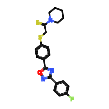 Fc1ccc(-c2noc(-c3ccc(SCC(=S)N4CCCCC4)cc3)n2)cc1